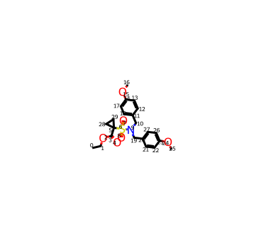 CCOC(=O)C1(S(=O)(=O)N(Cc2ccc(OC)cc2)Cc2ccc(OC)cc2)CC1